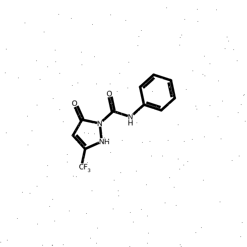 O=C(Nc1ccccc1)n1[nH]c(C(F)(F)F)cc1=O